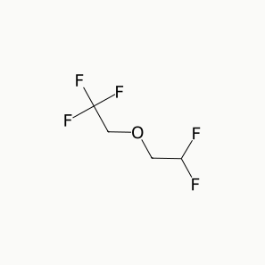 FC(F)COCC(F)(F)F